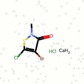 Cl.Cn1sc(Cl)c(Br)c1=O.[CaH2]